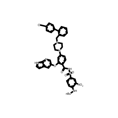 CCCCNc1ccc(S(=O)(=O)NC(=O)c2ccc(N3CCN(Cc4ccccc4-c4ccc(Cl)cc4)CC3)cc2Oc2cnc3[nH]ccc3c2)cc1[N+](=O)[O-]